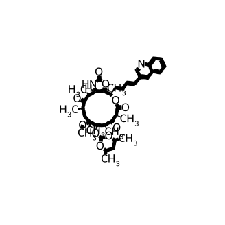 CO[C@]1(C)C[C@@H](C)C(=O)[C@H](C)[C@H]2NC(=O)O[C@]2(C)[C@@H](CC/C=C/c2cnc3ccccc3c2)OC(=O)[C@H](C)C(=O)[C@H](C)[C@H]1OC1OC(C)CC(C)O1